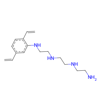 C=Cc1ccc(C=C)c(NCCNCCNCCN)c1